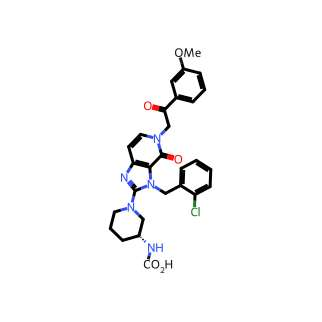 COc1cccc(C(=O)Cn2ccc3nc(N4CCC[C@@H](NC(=O)O)C4)n(Cc4ccccc4Cl)c3c2=O)c1